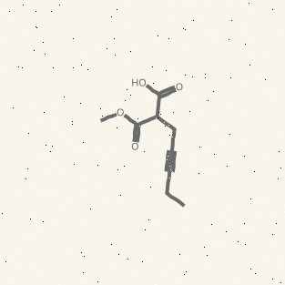 CCC#CCC(C(=O)O)C(=O)OC